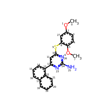 COc1ccc(OC)c(Sc2cc(-c3cccc4ccccc34)nc(N)n2)c1